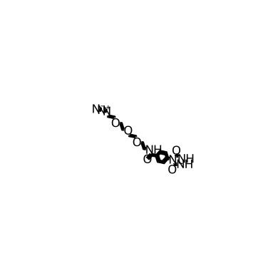 [N-]=[N+]=NCCOCCOCCOCCNC(=O)c1ccc(-n2c(=O)[nH][nH]c2=O)cc1